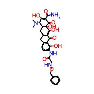 CN(C)[C@@H]1C(O)=C(C(N)=O)C(=O)[C@@]2(O)C(O)=C3C(=O)c4c(ccc(NC(=O)CNOCc5ccccc5)c4O)CC3CC12